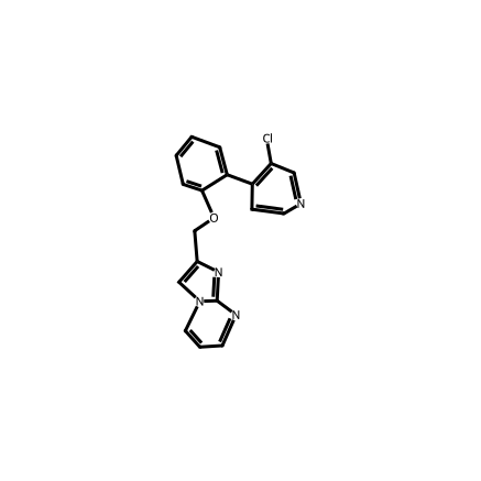 Clc1cnccc1-c1ccccc1OCc1cn2cccnc2n1